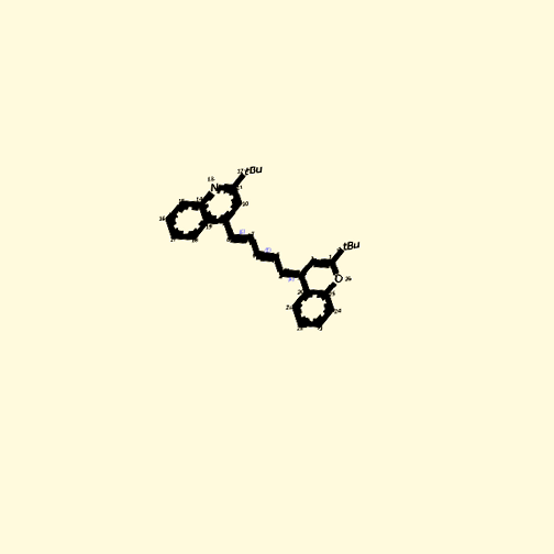 CC(C)(C)C1=C\C(=C/C=C/C=C/c2cc(C(C)(C)C)nc3ccccc23)c2ccccc2O1